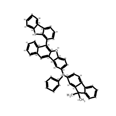 CC1(C)c2ccccc2-c2ccc(N(c3ccccc3)c3ccc4oc5c(-c6cccc7c6sc6ccccc67)c6ccccc6cc5c4c3)cc21